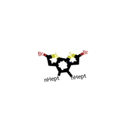 CCCCCCCc1c(CCCCCCC)c2cc(Br)sc2c2sc(Br)cc12